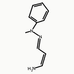 CN(/N=C/C=C\N)c1ccccc1